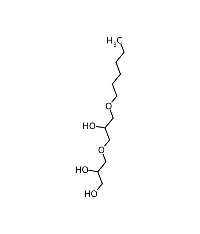 CCCCCCOCC(O)COCC(O)CO